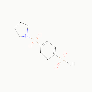 CS(=O)(=O)c1ccc(S(=O)(=O)N2CCCC2)cc1